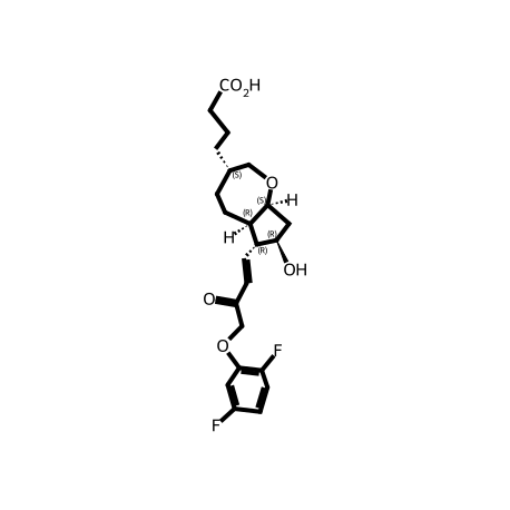 O=C(O)CCC[C@H]1CC[C@@H]2[C@@H](C=CC(=O)COc3cc(F)ccc3F)[C@H](O)C[C@@H]2OC1